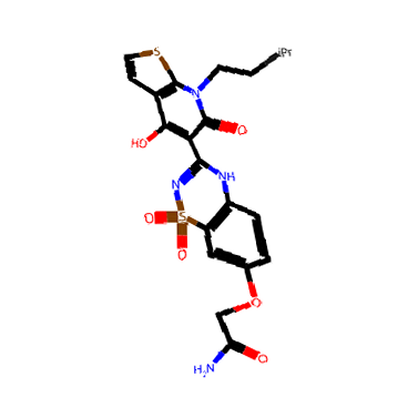 CC(C)CCn1c(=O)c(C2=NS(=O)(=O)c3cc(OCC(N)=O)ccc3N2)c(O)c2ccsc21